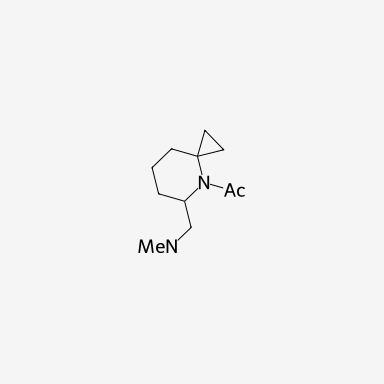 CNCC1CCCC2(CC2)N1C(C)=O